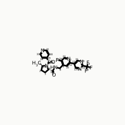 C[C@H]1CC[C@@H](C(=O)NCc2cc(-c3cnc(C(F)(F)F)nc3)ncc2F)N1[S+]([O-])c1ccncc1